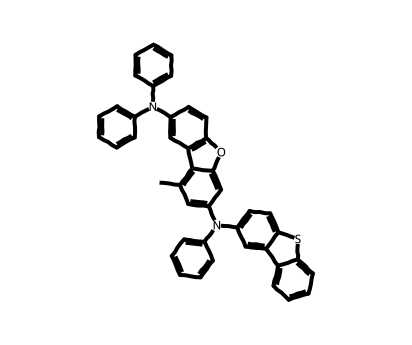 Cc1cc(N(c2ccccc2)c2ccc3sc4ccccc4c3c2)cc2oc3ccc(N(c4ccccc4)c4ccccc4)cc3c12